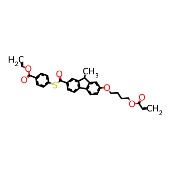 C=COC(=O)c1ccc(SC(=O)c2ccc3c(c2)C(C)c2cc(OCCCCOC(=O)C=C)ccc2-3)cc1